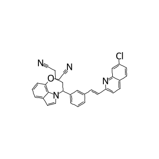 N#CCCCC(c1cccc(C=Cc2ccc3ccc(Cl)cc3n2)c1)n1ccc2cccc(OCC#N)c21